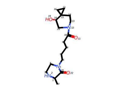 CC1NCCN(CCCCC(=O)N2CCC3(CC3)[C@H](O)C2)C1=O